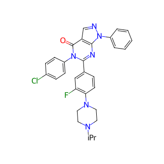 CC(C)N1CCN(c2ccc(-c3nc4c(cnn4-c4ccccc4)c(=O)n3-c3ccc(Cl)cc3)cc2F)CC1